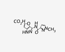 Cn1ccc(C(=O)Nc2n[nH]c3cc(C(=O)O)oc23)n1